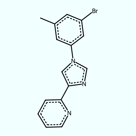 Cc1cc(Br)cc(-n2cnc(-c3ccccn3)c2)c1